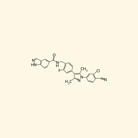 Cc1nn(-c2ccc(C#N)c(Cl)c2)c(C)c1-c1ccc(CNC(=O)c2ccc3[nH]ncc3c2)c(F)c1